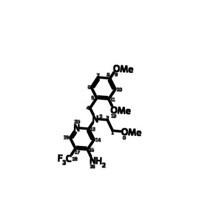 COCCN(Cc1ccc(OC)cc1OC)c1cc(N)c(C(F)(F)F)cn1